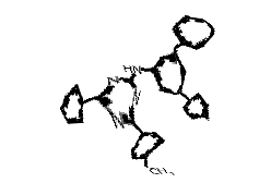 Cc1ccc(-c2nc(Nc3cc(-c4ccccc4)cc(-c4ccccc4)c3)nc(-c3ccccc3)n2)cc1